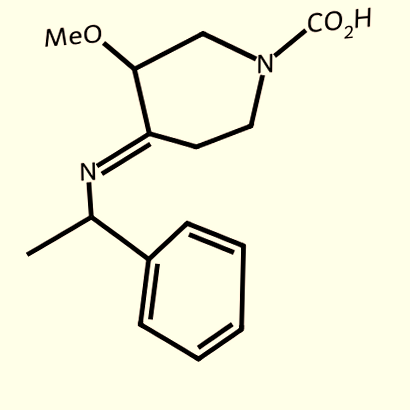 COC1CN(C(=O)O)CCC1=NC(C)c1ccccc1